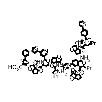 CC(C)CC(C(=O)NC12CCCC1OCC2=O)c1cc(-n2ccnc2)ccc1C(N)=O.CC(C)CC(N)C(=O)NC12CCCC1OCC2=O.CC(C)CC(NC(=O)c1ccc(-c2cccs2)cc1)C(=O)NC12CCCC1OCC2=O.CC(C)CC(NC(=O)c1cncc(-c2cccs2)c1)C(=O)NC12CCCC1OCC2=O.O=C(O)c1csc(-c2ccccc2)n1